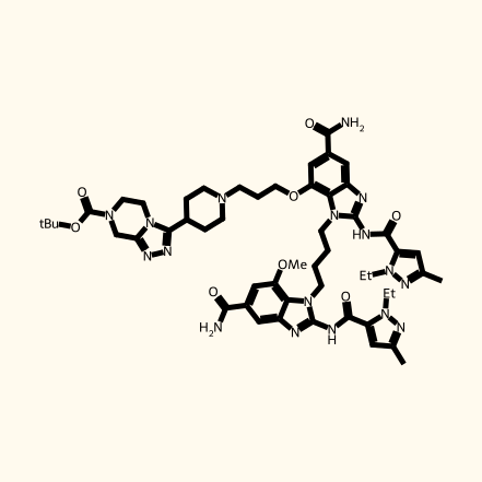 CCn1nc(C)cc1C(=O)Nc1nc2cc(C(N)=O)cc(OC)c2n1CCCCn1c(NC(=O)c2cc(C)nn2CC)nc2cc(C(N)=O)cc(OCCCN3CCC(c4nnc5n4CCN(C(=O)OC(C)(C)C)C5)CC3)c21